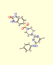 Cc1ccc(Nc2cc(C)nc(N3CCN(S(=O)(=O)c4ccc5[nH]c(=O)[nH]c5c4)CC3)n2)cc1